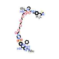 CCCCNc1ncc(C(=N)c2ccc(S(=O)(=O)N3CCN(C(=O)COCCOCCOCCOCC(=O)NC(C(=O)N4CCC[C@H]4C(=O)NCc4ccc(-c5scnc5C)cc4)C(C)(C)C)CC3)cc2)c(NC2CCCCC2)n1